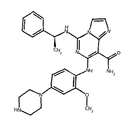 COc1cc(N2CCNCC2)ccc1Nc1nc(N[C@@H](C)c2ccccc2)n2ccnc2c1C(N)=O